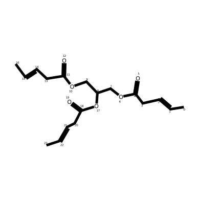 CC=CCC(=O)OCC(COC(=O)CC=CC)OC(=O)CC=CC